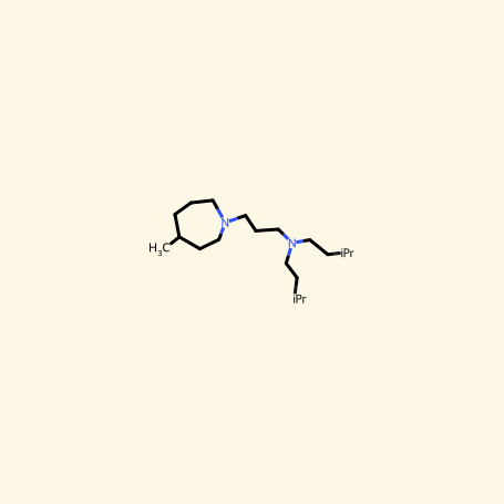 CC(C)CCN(CCCN1CCCC(C)CC1)CCC(C)C